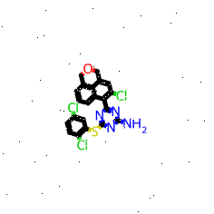 Nc1nc(Sc2cc(Cl)ccc2Cl)nc(-c2c(Cl)cc3c4c(cccc24)COC3)n1